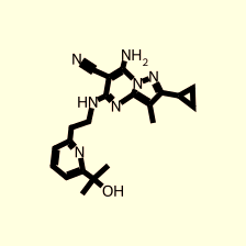 Cc1c(C2CC2)nn2c(N)c(C#N)c(NCCc3cccc(C(C)(C)O)n3)nc12